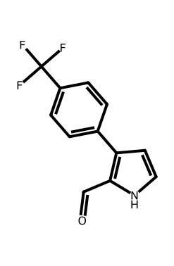 O=Cc1[nH]ccc1-c1ccc(C(F)(F)F)cc1